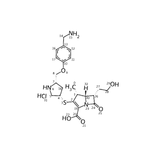 C[C@H]1C(S[C@@H]2CN[C@H](COc3ccc(CN)cc3)C2)=C(C(=O)O)N2C(=O)[C@@H](CCO)[C@@H]12.Cl